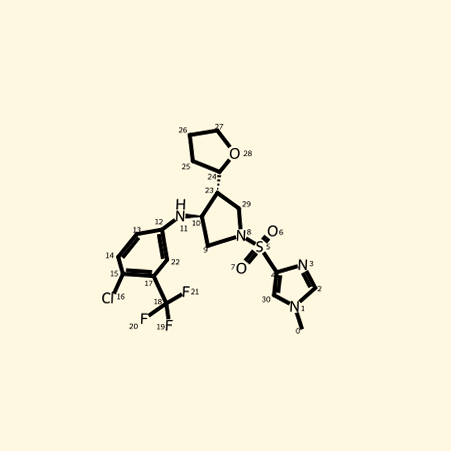 Cn1cnc(S(=O)(=O)N2C[C@@H](Nc3ccc(Cl)c(C(F)(F)F)c3)[C@H](C3CCCO3)C2)c1